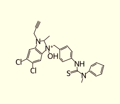 C#CCN1c2cc(Cl)c(Cl)cc2[N+](O)(Cc2ccc(NC(=S)N(C)c3ccccc3)cc2)C1C